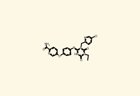 CCn1c(=O)[nH]/c(=N\c2ccc(Oc3ccc(C(N)=O)nc3)cc2)n(Cc2ccc(Cl)cn2)c1=O